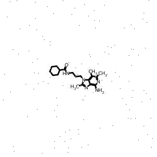 Cc1nc(N)c2nc(C)n(CCCNC(=O)C3CCCCC3)c2c1C